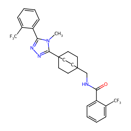 Cn1c(-c2ccccc2C(F)(F)F)nnc1C12CCC(CNC(=O)c3ccccc3C(F)(F)F)(CC1)CC2